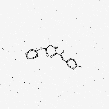 Cc1ccc(C=C(F)C(=O)N[C@@H](C)C(=O)Oc2ccccc2)cc1